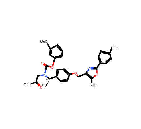 COC(=O)CN(C(=O)Oc1cccc(OC)c1)[C@@H](C)c1ccc(OCc2nc(-c3ccc(C)cc3)oc2C)cc1